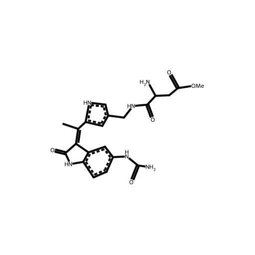 COC(=O)CC(N)C(=O)NCc1c[nH]c(C(C)=C2C(=O)Nc3ccc(NC(N)=O)cc32)c1